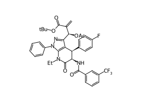 C=C(C(=O)OC(C)(C)C)[C@@H](OC(C)=O)c1nn(-c2ccccc2)c2c1[C@@H](c1ccc(F)cc1)[C@@H](NC(=O)c1cccc(C(F)(F)F)c1)C(=O)N2CC